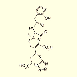 O=C(O)CCC(Sc1nnn[nH]1)C1=C(C(=O)O)N2C(=O)C(NC(=O)Cc3ccsc3O)[C@@H]2SC1